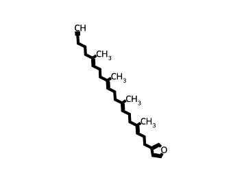 C#CCCC/C(C)=C/CC/C(C)=C/CC/C(C)=C/CC/C(C)=C/CCc1ccoc1